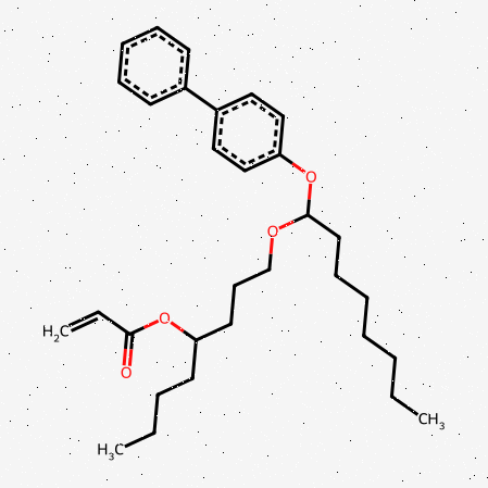 C=CC(=O)OC(CCCC)CCCOC(CCCCCCC)Oc1ccc(-c2ccccc2)cc1